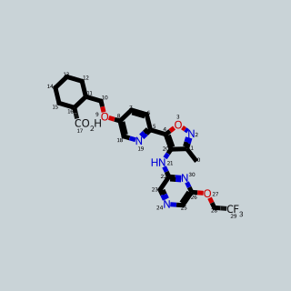 Cc1noc(-c2ccc(OCC3CCCCC3C(=O)O)cn2)c1Nc1cncc(OCC(F)(F)F)n1